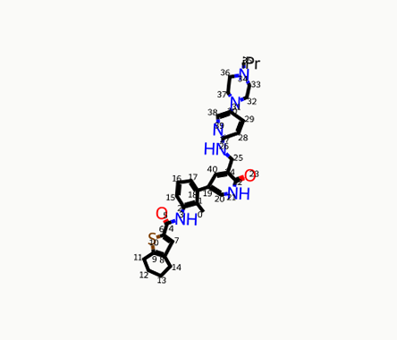 Cc1c(NC(=O)c2cc3c(s2)CCCC3)cccc1-c1c[nH]c(=O)c(CNc2ccc(N3CCN(C(C)C)CC3)cn2)c1